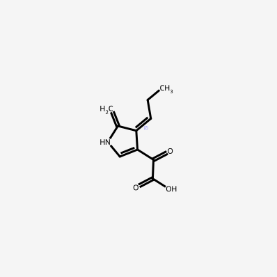 C=c1[nH]cc(C(=O)C(=O)O)/c1=C/CC